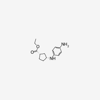 CCOC(=O)[C@H]1CC[C@@H](Nc2ccc(N)cc2)C1